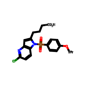 CCCOc1ccc(S(=O)(=O)n2c(CCCC(=O)O)cc3nc(Cl)ccc32)cc1